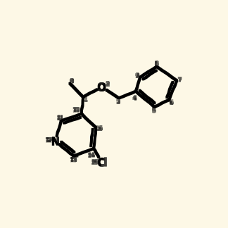 CC(OCc1ccccc1)c1cn[c]c(Cl)c1